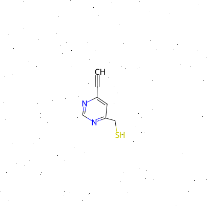 C#Cc1cc(CS)ncn1